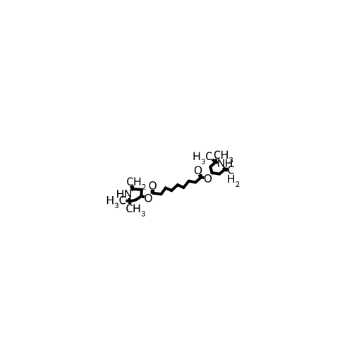 C=C1CC(OC(=O)CCCCCCCC(=O)OC2CC(=C)NC(C)(C)C2)CC(C)(C)N1